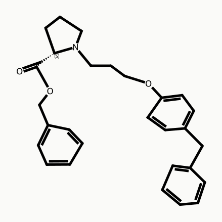 O=C(OCc1ccccc1)[C@@H]1CCCN1CCCOc1ccc(Cc2ccccc2)cc1